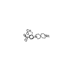 COc1cc(N2CCC3(CCNCC3)CC2)ccc1[N+](=O)[O-]